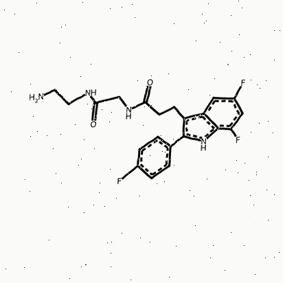 NCCNC(=O)CNC(=O)CCc1c(-c2ccc(F)cc2)[nH]c2c(F)cc(F)cc12